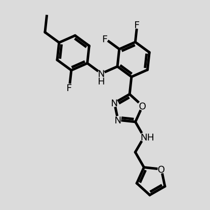 CCc1ccc(Nc2c(-c3nnc(NCc4ccco4)o3)ccc(F)c2F)c(F)c1